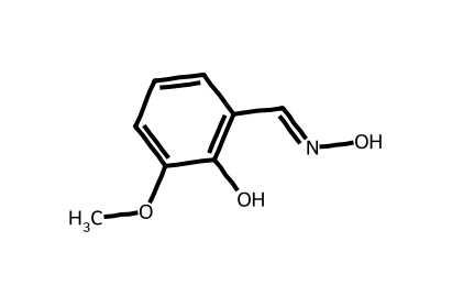 COc1cccc(C=NO)c1O